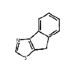 [c]1nc2c(s1)Cc1ccccc1-2